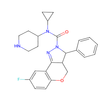 O=C(N1N=C2c3cc(F)ccc3OCC2C1c1ccccc1)N(C1CCNCC1)C1CC1